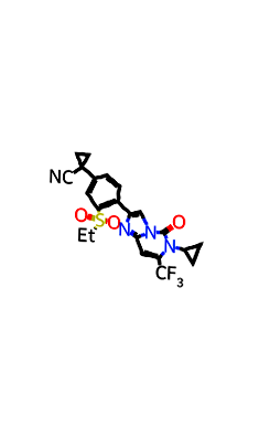 CCS(=O)(=O)c1cc(C2(C#N)CC2)ccc1-c1cn2c(=O)n(C3CC3)c(C(F)(F)F)cc2n1